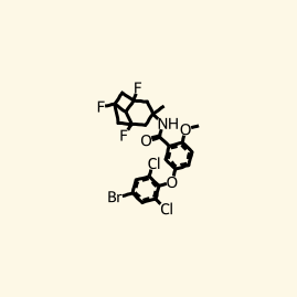 COc1ccc(Oc2c(Cl)cc(Br)cc2Cl)cc1C(=O)NC1(C)CC2(F)CC3(F)CC(F)(C1)C23